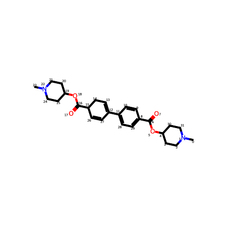 CN1CCC(OC(=O)c2ccc(C3=CCC(C(=O)OC4CCN(C)CC4)C=C3)cc2)CC1